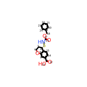 O=C(NS[C@H]1CCOc2cc(C(=O)O)ccc21)OCc1ccccc1